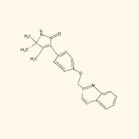 CC1=C(c2ccc(OCc3ccc4ccccc4n3)cc2)C(=O)NC1(C)C